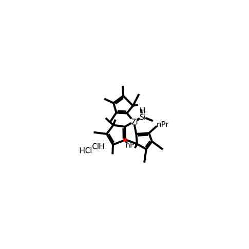 CCCC1=[C]([Zr]([C]2=C(C)C(C)=C(C)C2(C)C)([C]2=C(CCC)C(C)=C(C)C2(C)C)[SiH](C)C)C(C)(C)C(C)=C1C.Cl.Cl